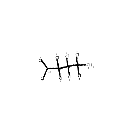 CC(Cl)(Cl)C(Cl)(Cl)C(Cl)(Cl)[C](Cl)Cl